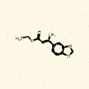 CCOC(=O)C=C(C)c1ccc2c(c1)OCO2